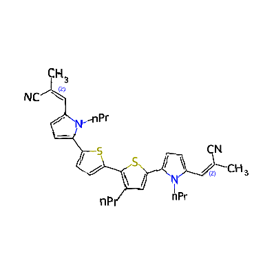 CCCc1cc(-c2ccc(/C=C(/C)C#N)n2CCC)sc1-c1ccc(-c2ccc(/C=C(/C)C#N)n2CCC)s1